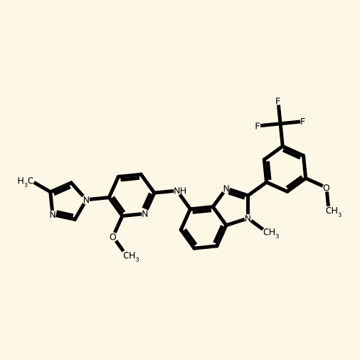 COc1cc(-c2nc3c(Nc4ccc(-n5cnc(C)c5)c(OC)n4)cccc3n2C)cc(C(F)(F)F)c1